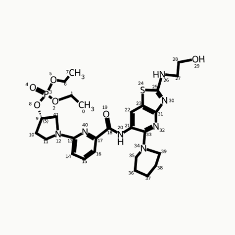 CCOP(=O)(OCC)O[C@H]1CCN(c2cccc(C(=O)Nc3cc4sc(NCCO)nc4nc3N3CCCCC3)n2)C1